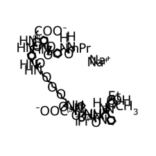 CCCNC(=O)Nc1cccc(S(=O)(=O)Nc2cccc([C@@H](CC(=O)[O-])NC(=O)Nc3ccc(NC(=O)NCCOCCOCCOCCC(=O)N[C@@H](CC(=O)[O-])C(=O)N4CCC[C@H]4C(=O)N[C@H](C(=O)Nc4nc5ccccc5c5c4nc(COCC)n5CC(C)(C)O)C(C)C)cc3)c2)c1.[Na+].[Na+]